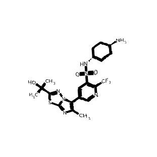 Cc1nc2sc(C(C)(C)O)nn2c1-c1cnc(C(F)(F)F)c(S(=O)(=O)N[C@H]2CC[C@H](N)CC2)c1